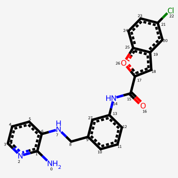 Nc1ncccc1NCc1cccc(NC(=O)c2cc3cc(Cl)ccc3o2)c1